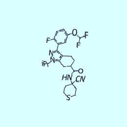 CC(C)n1nc(-c2cc(OC(F)F)ccc2F)c2c1CC(C(=O)NC1(C#N)CCSCC1)CC2